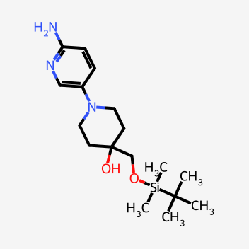 CC(C)(C)[Si](C)(C)OCC1(O)CCN(c2ccc(N)nc2)CC1